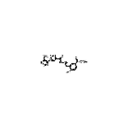 COC(=O)c1ccc(O)c(CNNC(=O)c2cn(-c3nonc3N)nn2)c1